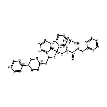 O=C(O)N[C@@H](Cc1ccccc1)C(=O)NCC(CCCN1CCC(c2ccccc2)CC1)(c1ccccc1)c1ccccc1